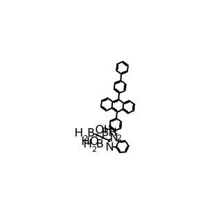 BC(O)(O)C(B)(B)c1nc2ccccc2n1-c1ccc(-c2c3ccccc3c(-c3ccc(-c4ccccc4)cc3)c3ccccc23)cc1